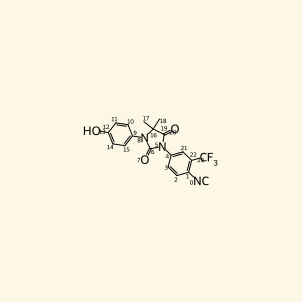 [C-]#[N+]c1ccc(N2C(=O)N(c3ccc(O)cc3)C(C)(C)C2=O)cc1C(F)(F)F